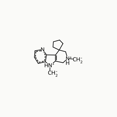 [CH2-][NH+]1CC2=C(c3ncccc3[NH+]2[CH2-])C2(CCCC2)C1